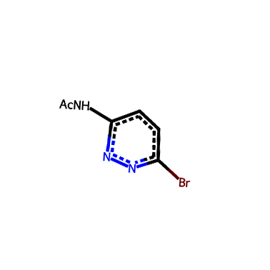 CC(=O)Nc1ccc(Br)nn1